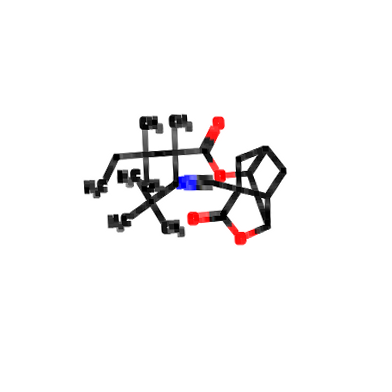 CCC(C)(C)C(C)(CC(C)(C)C)C(=O)OC1C2CC3C1OC(=O)C3(C#N)C2